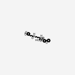 O=C(CCc1ccc2c(c1)OCO2)NCCCCC(NS(=O)(=O)c1ccc2oc3ccccc3c2c1)C(=O)O